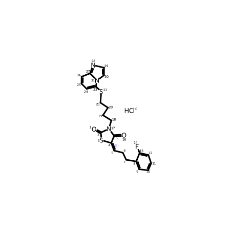 Cl.O=C1S/C(=C/CCc2ccccc2F)C(=O)N1CCCCSc1cccc2nccn12